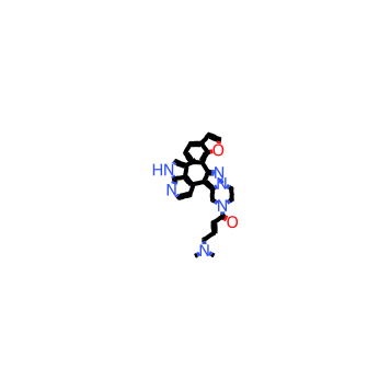 Cc1c[nH]c2nccc(-c3c(-c4cccc5ccoc45)nn4c3CN(C(=O)/C=C/CN(C)C)CC4)c12